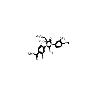 C=C1N(c2ccc(C#N)c(C(F)(F)F)c2)C(=O)[C@@](C)(COC)N1c1ccc(C(=O)NC)c(F)c1